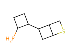 PC1CCC1C1CC2SCC21